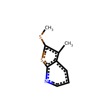 CSc1sc2ncccc2c1C